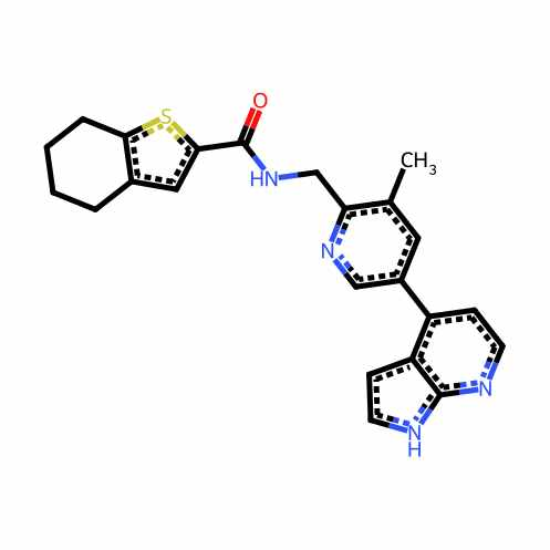 Cc1cc(-c2ccnc3[nH]ccc23)cnc1CNC(=O)c1cc2c(s1)CCCC2